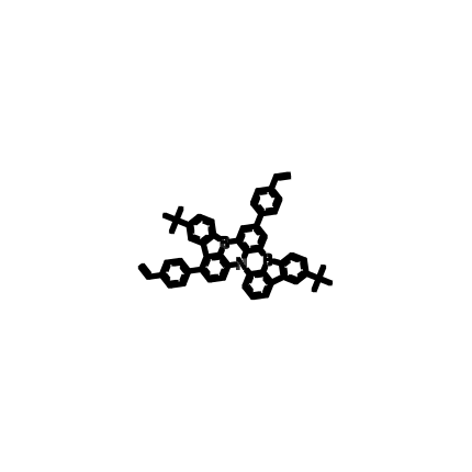 C=Cc1ccc(-c2cc3c4c(c2)B2c5ccc(C(C)(C)C)cc5-c5c(-c6ccc(C=C)cc6)ccc(c52)N4c2cccc4c2B3c2ccc(C(C)(C)C)cc2-4)cc1